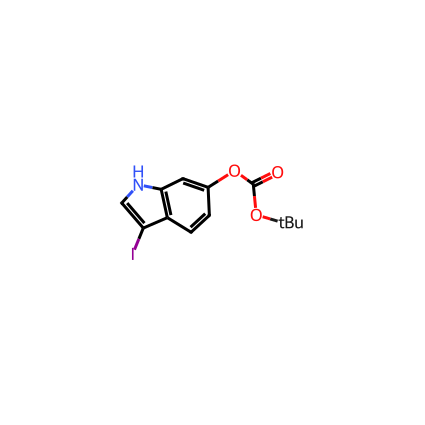 CC(C)(C)OC(=O)Oc1ccc2c(I)c[nH]c2c1